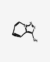 Sc1nnn2ccccc12